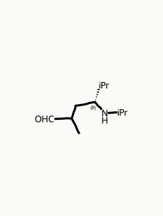 CC(C=O)C[C@@H](NC(C)C)C(C)C